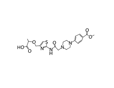 COC(=O)c1ccc(N2CCN(CC(=O)Nc3nc(COC(C)C(=O)O)cs3)CC2)cc1